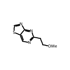 COCCc1ncc2s[c]nc2n1